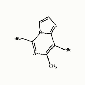 Cc1nc(C(C)(C)C)n2ccnc2c1C(C)(C)C